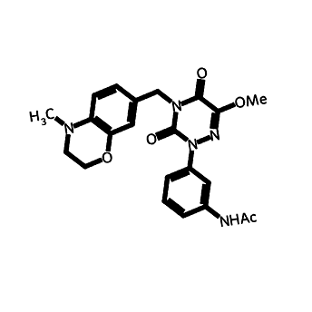 COc1nn(-c2cccc(NC(C)=O)c2)c(=O)n(Cc2ccc3c(c2)OCCN3C)c1=O